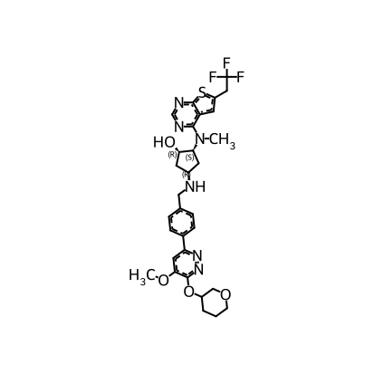 COc1cc(-c2ccc(CN[C@H]3C[C@@H](O)[C@@H](N(C)c4ncnc5sc(CC(F)(F)F)cc45)C3)cc2)nnc1OC1CCCOC1